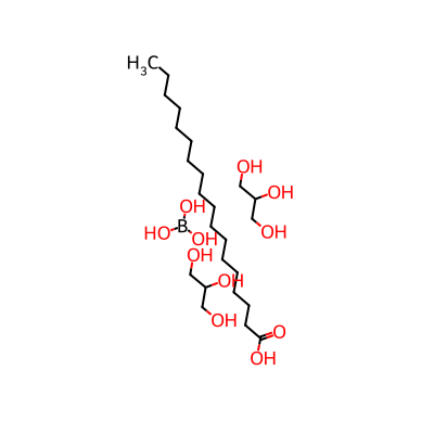 CCCCCCCCCCCCCCCCCC(=O)O.OB(O)O.OCC(O)CO.OCC(O)CO